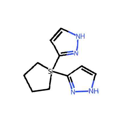 c1cc([Si]2(c3cc[nH]n3)CCCC2)n[nH]1